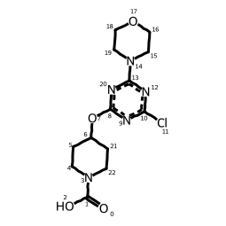 O=C(O)N1CCC(Oc2nc(Cl)nc(N3CCOCC3)n2)CC1